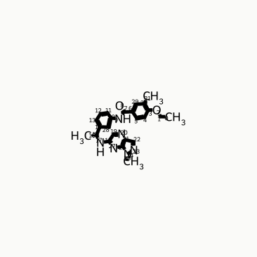 CCOc1ccc(C(=O)Nc2cccc([C@H](C)Nc3cnc4cnn(C)c4n3)c2)cc1C